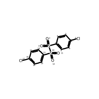 O=S(=O)(c1ccc(Cl)cc1)S(=O)(=O)c1ccc(Cl)cc1